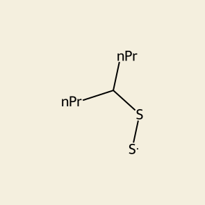 CCCC(CCC)S[S]